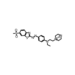 CCN(CC[N+]12CCN(CC1)CC2)c1ccc(/N=N/c2nc3ccc(S(C)(=O)=O)cc3s2)cc1